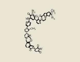 C[C@H]1CN([C@H]2CCN3Cc4ccc5c(c4OC[C@H]3C2)CN(C2CCC(=O)NC2=O)C5=O)CCN1c1ccc(Nc2cc(-c3ccnc(N4CCn5c(cc6c5CC(C)(C)C6)C4=O)c3CO)cn(C)c2=O)nc1